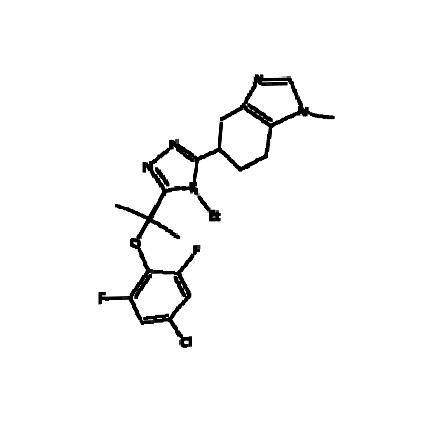 CCn1c(C2CCc3c(ncn3C)C2)nnc1C(C)(C)Oc1c(F)cc(Cl)cc1F